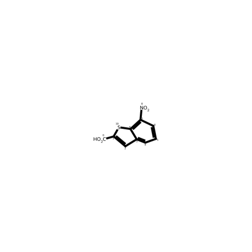 O=C(O)c1cc2cccc([N+](=O)[O-])c2s1